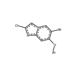 CC(C)Oc1cc2nc(Cl)cn2cc1Br